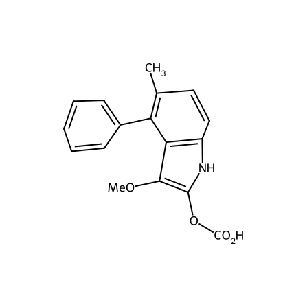 COc1c(OC(=O)O)[nH]c2ccc(C)c(-c3ccccc3)c12